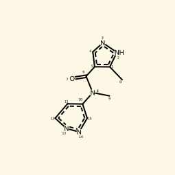 Cc1[nH]ncc1C(=O)N(C)c1ccnnc1